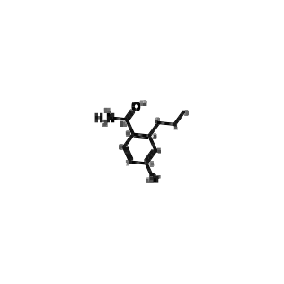 CCCc1cc(Br)ccc1C(N)=O